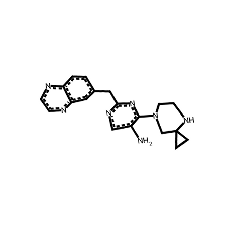 Nc1cnc(Cc2ccc3nccnc3c2)nc1N1CCNC2(CC2)C1